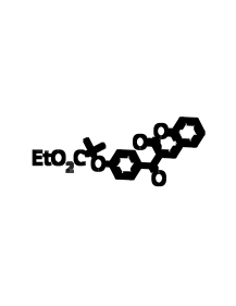 CCOC(=O)C(C)(C)Oc1ccc(C(=O)c2cc3ccccc3oc2=O)cc1